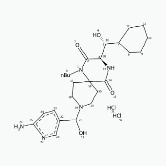 CCCCN1C(=O)[C@@H]([C@H](O)C2CCCCC2)NC(=O)C12CCN(C(O)c1ccc(N)nc1)CC2.Cl.Cl